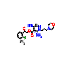 CCC(=N)/C(C(=O)OCC(=O)c1cccc(C(F)(F)F)c1F)=C(/N)NCCCN1CCOCC1